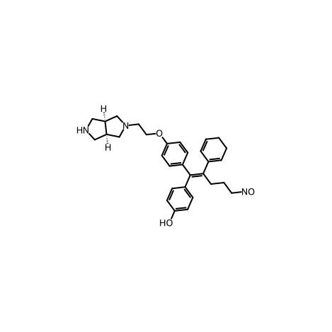 O=NCCC/C(C1=CCCC=C1)=C(\c1ccc(O)cc1)c1ccc(OCCN2C[C@H]3CNC[C@H]3C2)cc1